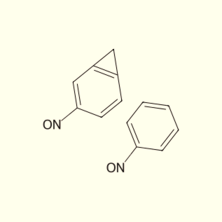 O=Nc1ccc2c(c1)C2.O=Nc1ccccc1